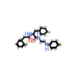 O=C(Cc1ccccc1F)NC(CC1CCCCC1)C(=O)NCCNc1ccc(F)cc1